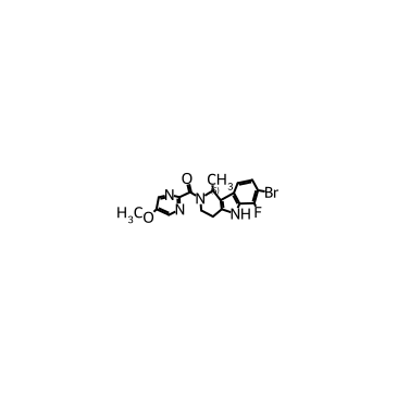 COc1cnc(C(=O)N2CCc3[nH]c4c(F)c(Br)ccc4c3[C@@H]2C)nc1